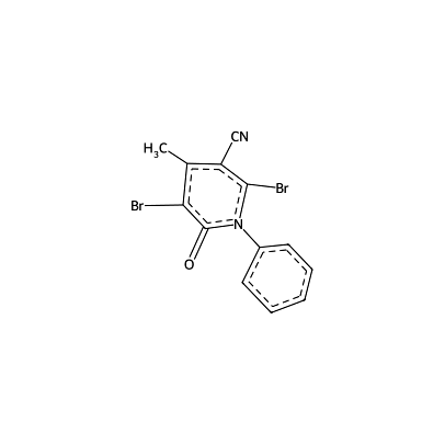 Cc1c(C#N)c(Br)n(-c2ccccc2)c(=O)c1Br